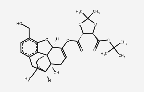 CN1CC[C@]23c4c5ccc(CO)c4O[C@H]2C(OC(=O)[C@@H]2OC(C)(C)O[C@H]2C(=O)OC(C)(C)C)=CC[C@@]3(O)[C@H]1C5